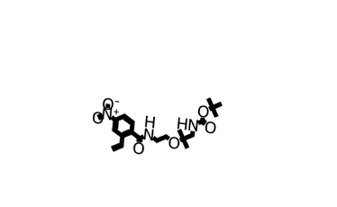 C=Cc1cc([N+](=O)[O-])ccc1C(=O)NCCOC(C)(C)CNC(=O)OC(C)(C)C